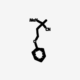 CNC(C)(C#N)CCOc1ccccc1